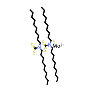 CCCCCCCCCCN(CCCCCCCCCC)C(=S)[S-].CCCCCCCCCCN(CCCCCCCCCC)C(=S)[S-].[S]=[Mo+2]